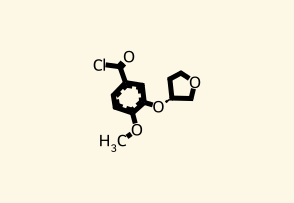 COc1ccc(C(=O)Cl)cc1O[C@@H]1CCOC1